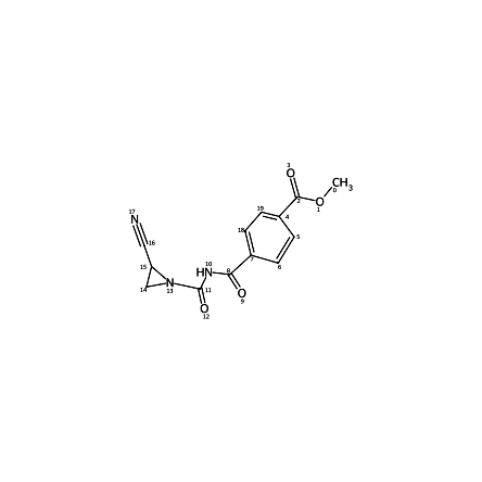 COC(=O)c1ccc(C(=O)NC(=O)N2CC2C#N)cc1